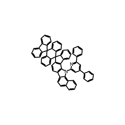 c1ccc(-c2cc(-c3ccccc3)nc(-n3c4c5c(ccc4c4ccc6ccccc6c43)C3(c4ccccc4-5)c4ccccc4C4(c5ccccc5-c5ccccc54)c4ccccc43)c2)cc1